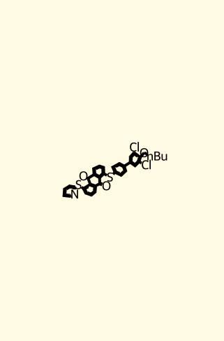 CCCCOc1c(Cl)cc(-c2ccc(Sc3cccc4c3C(=O)c3cccc(Sc5ccccn5)c3C4=O)cc2)cc1Cl